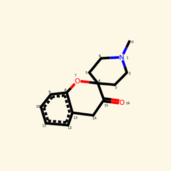 CN1CCC2(CC1)Oc1ccccc1CC2=O